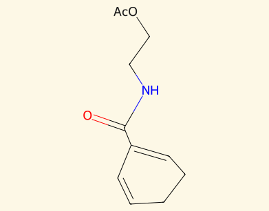 CC(=O)OCCNC(=O)C1=CCCC=C1